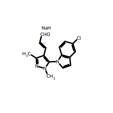 Cc1nn(C)c(-n2ccc3cc(Cl)ccc32)c1/C=C/C=O.[NaH]